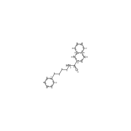 O=C(NCCCCc1ccccc1)c1cnc2ccccc2n1